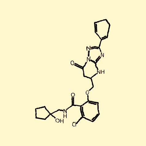 O=C(NCC1(O)CCCC1)c1c(Cl)cccc1OCC1CC(=O)n2nc(C3=CCCC=C3)nc2N1